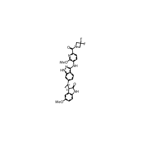 COc1ccc2c(c1)[C@]1(C[C@H]1c1ccc3c(Nc4ccc(C(=O)N5CC(F)(F)C5)nc4OC)n[nH]c3c1)C(=O)N2